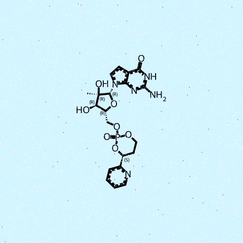 C[C@@]1(O)[C@H](O)[C@@H](COP2(=O)OCC[C@@H](c3ccccn3)O2)O[C@H]1n1ccc2c(=O)[nH]c(N)nc21